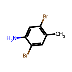 Cc1cc(Br)c(N)cc1Br